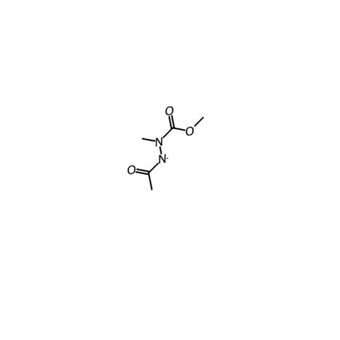 COC(=O)N(C)[N]C(C)=O